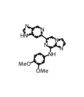 COc1ccc(Nc2nc(-c3cc4[nH]cnc4cn3)cn3ccnc23)cc1OC